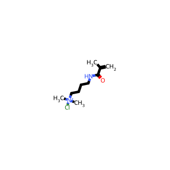 C=C(C)C(=O)NCCCC[N+](C)(C)Cl